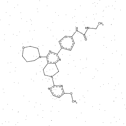 CCNC(=O)Nc1ccc(-c2nc3c(c(N4CCCOCC4)n2)CCN(c2nccc(OC)n2)C3)cc1